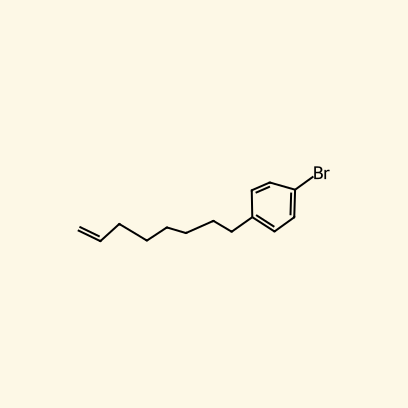 C=CCCCCCCc1ccc(Br)cc1